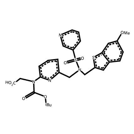 COc1ccc2cc(CN(Cc3cccc(N(CC(=O)O)C(=O)OC(C)(C)C)n3)S(=O)(=O)c3cccnc3)sc2c1